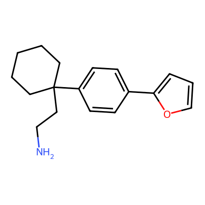 NCCC1(c2ccc(-c3ccco3)cc2)CCCCC1